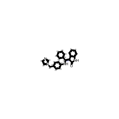 O=C1Nc2ccccc2/C1=C(/Nc1ccc(Cn2ccnc2)cc1)c1ccccc1